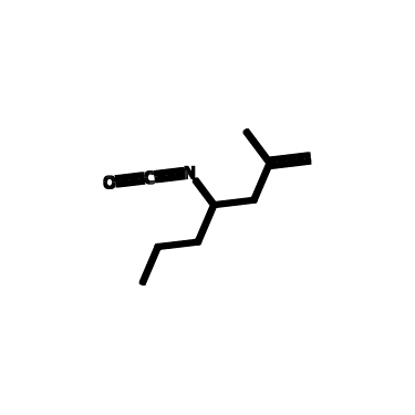 C=C(C)CC(CCC)N=C=O